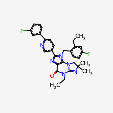 CCc1cc(F)ccc1Cn1c(-c2ccc(-c3cccc(F)c3)nc2)nc2c1N1CC(C)(C)N=C1N(CC)C2=O